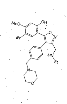 CCNCc1noc(-c2cc(C(C)C)c(OC)cc2O)c1-c1ccc(CN2CCOCC2)cc1